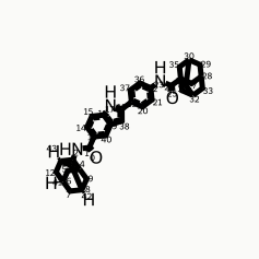 O=C(NC1C2C[C@H]3C[C@@H](C2)C[C@@H]1C3)c1ccc2[nH]c(-c3ccc(NC(=O)C45CC6CC(CC(C6)C4)C5)cc3)cc2c1